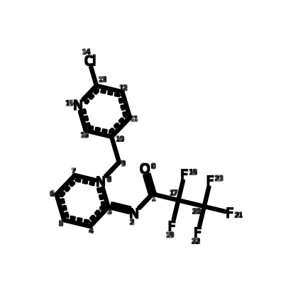 O=C(/N=c1/ccccn1Cc1ccc(Cl)nc1)C(F)(F)C(F)(F)F